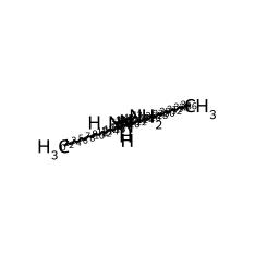 CCCCCCCCC=CCCCCCCCCNCCCCCCCCC=CCCCCCCCC.NCCNCCN